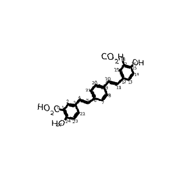 O=C(O)c1cc(C=Cc2ccc(C=Cc3ccc(O)c(C(=O)O)c3)cc2)ccc1O